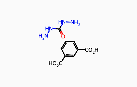 NNC(=O)NN.O=C(O)c1cccc(C(=O)O)c1